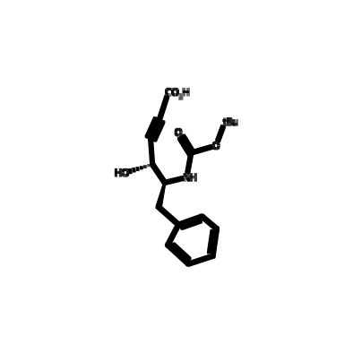 CC(C)(C)OC(=O)N[C@@H](Cc1ccccc1)[C@H](O)C#CC(=O)O